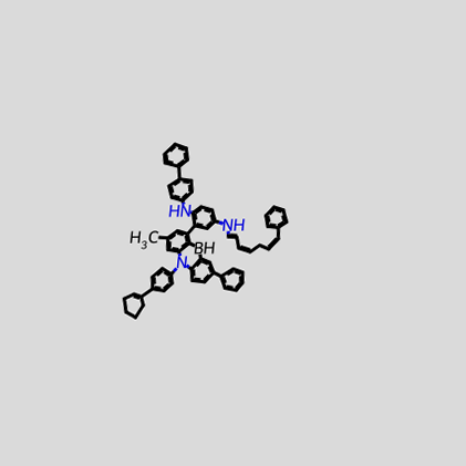 Cc1cc(-c2cc(N/C=C/C=C\C/C=C\c3ccccc3)ccc2Nc2ccc(-c3ccccc3)cc2)c2c(c1)N(c1ccc(C3=CCCCC3)cc1)c1ccc(-c3ccccc3)cc1B2